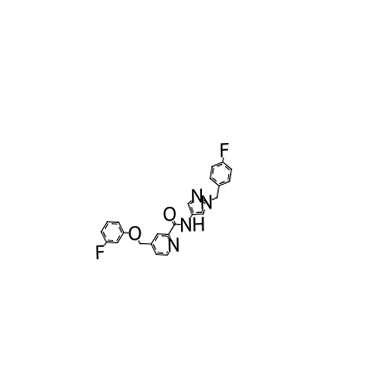 O=C(Nc1cnn(Cc2ccc(F)cc2)c1)c1cc(COc2cccc(F)c2)ccn1